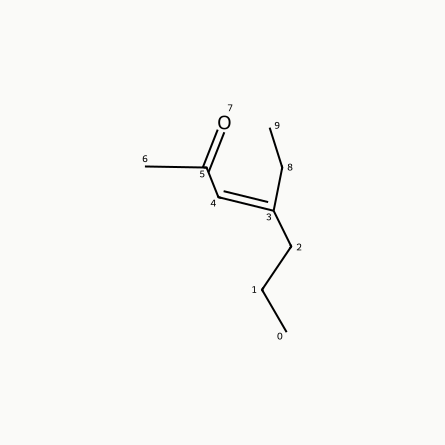 CCCC(=CC(C)=O)CC